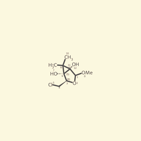 COC1O[C@@H](CCl)[C@@]2(O)C(C)(C)[C@@]12O